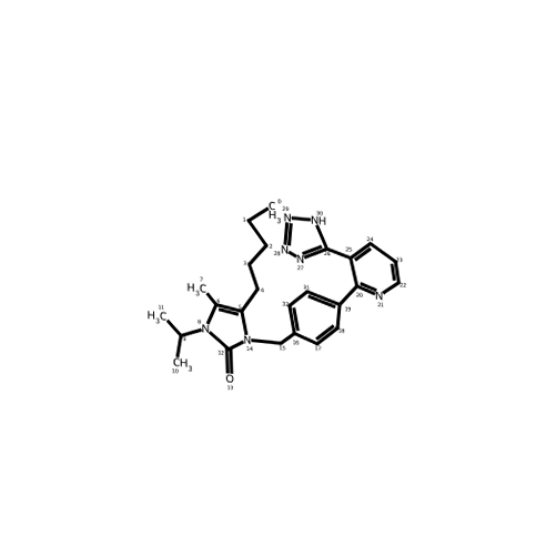 CCCCCc1c(C)n(C(C)C)c(=O)n1Cc1ccc(-c2ncccc2-c2nnn[nH]2)cc1